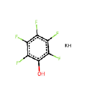 Oc1c(F)c(F)c(F)c(F)c1F.[KH]